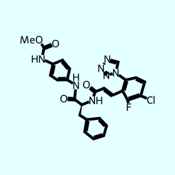 COC(=O)Nc1ccc(NC(=O)[C@H](Cc2ccccc2)NC(=O)/C=C/c2c(-n3cnnn3)ccc(Cl)c2F)cc1